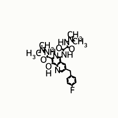 CN(C)NC(=O)C(=O)Nc1nc(C(=O)NN(C)C)c(O)c2ncc(Cc3ccc(F)cc3)cc12